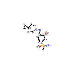 CS(=N)(=O)c1ccc(NC2CCC3(CC2)CC3)c(Br)c1